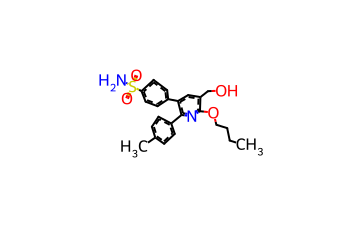 CCCCOc1nc(-c2ccc(C)cc2)c(-c2ccc(S(N)(=O)=O)cc2)cc1CO